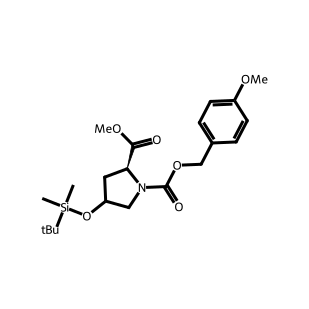 COC(=O)[C@@H]1CC(O[Si](C)(C)C(C)(C)C)CN1C(=O)OCc1ccc(OC)cc1